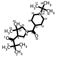 CC(C)(C)C(=O)C1CN(C(=O)C2CCN(C(C)(C)C)CC2)CC1(C)C